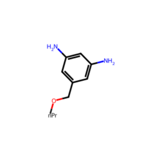 CCCOCc1cc(N)cc(N)c1